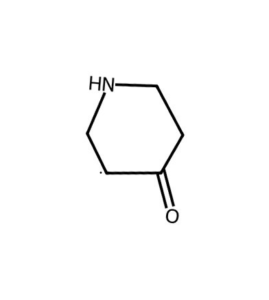 O=C1[CH]CNCC1